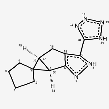 C1CCC2(C1)[C@@H]1c3n[nH]c(-c4nnn[nH]4)c3C[C@@H]12